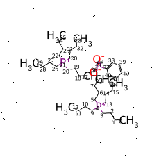 CCCC[P+](CCCC)(CCCC)CCCC.CCCC[P+](CCCC)(CCCC)CCCC.[O-]P([O-])c1ccccc1